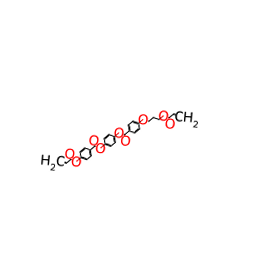 C=CC(=O)OCCCOc1ccc(C(=O)Oc2ccc(OC(=O)c3ccc(OC(=O)C=C)cc3)cc2)cc1